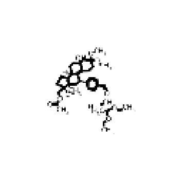 C=C.CCOC(C)OCC.COC1(OC)CCC2=C3[C@@H](CC[C@@]2(O)C1)[C@@H]1CC[C@@](O)(COC(C)=O)[C@@]1(C)C[C@@H]3c1ccc(C=O)cc1